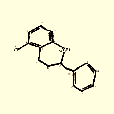 Clc1cccc2c1CCC(c1ccccc1)N2